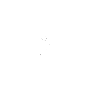 O=C(O)c1cnc2cc(OCCN3CCCC3)ccn12